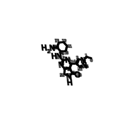 CCn1cc(-c2nc(N[C@@H]3CCCC[C@@H]3N)nc3c2C(=O)NC3)cn1